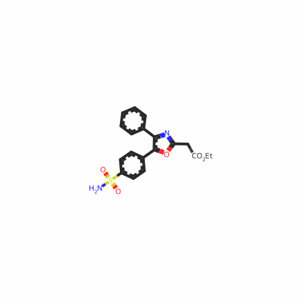 CCOC(=O)Cc1nc(-c2ccccc2)c(-c2ccc(S(N)(=O)=O)cc2)o1